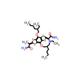 CCCCC(CC)COc1c2c(c3c4c1S/C(=C(\C(N)=O)N(CC)CC(CCCC)CO3)S4)S/C(=C(/C)C(N)=O)S2